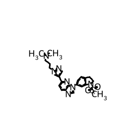 CN(C)CCCn1cc(-c2ccc3ncn(-c4ccc5c(c4)N(S(C)(=O)=O)CC5)c3n2)cn1